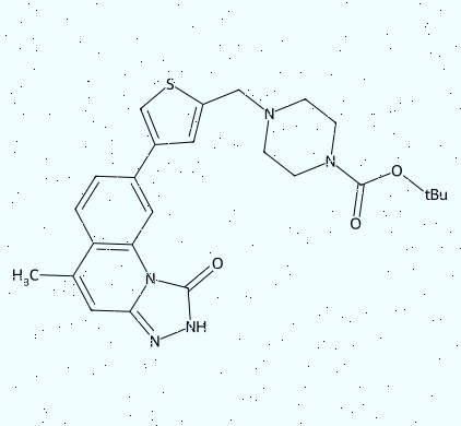 Cc1cc2n[nH]c(=O)n2c2cc(-c3csc(CN4CCN(C(=O)OC(C)(C)C)CC4)c3)ccc12